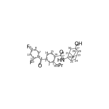 CCCc1cc(C(=O)c2ccc(F)cc2F)ccc1C(=O)NC1C2CC3CC1CC(O)(C3)C2